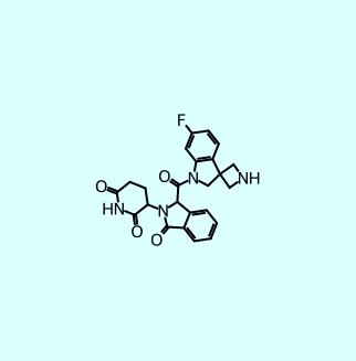 O=C1CCC(N2C(=O)c3ccccc3C2C(=O)N2CC3(CNC3)c3ccc(F)cc32)C(=O)N1